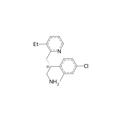 CCc1cccnc1C[C@@H](CN)c1ccc(Cl)cc1C